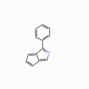 C1=CC2=CN=C(c3ccccc3)C2=C1